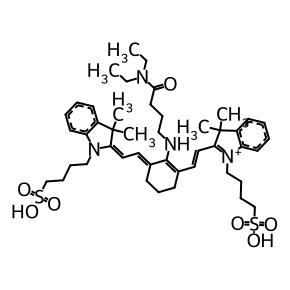 CCN(CC)C(=O)CCCNC1=C(/C=C/C2=[N+](CCCCS(=O)(=O)O)c3ccccc3C2(C)C)CCC/C1=C\C=C1\N(CCCCS(=O)(=O)O)c2ccccc2C1(C)C